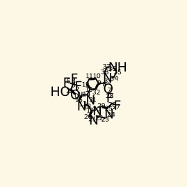 O=C(O)C(F)(F)F.O=C(c1cccc(-c2ccnc(-c3cnc4cnc(C(F)F)cn34)n2)c1)N1CCNCC1